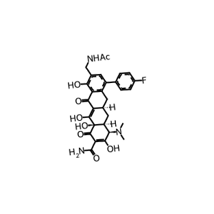 CC(=O)NCc1cc(-c2ccc(F)cc2)c2c(c1O)C(=O)C1=C(O)[C@@]3(O)C(=O)C(C(N)=O)=C(O)[C@H](N(C)C)[C@@H]3C[C@@H]1C2